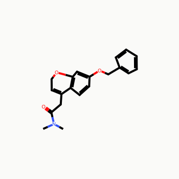 CN(C)C(=O)CC1=CCOc2cc(OCc3ccccc3)ccc21